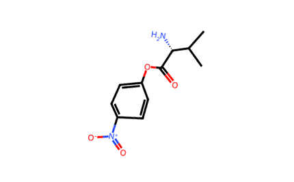 CC(C)[C@@H](N)C(=O)Oc1ccc([N+](=O)[O-])cc1